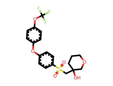 O=S(=O)(CC1(O)CCCOC1)c1ccc(Oc2ccc(OC(F)(F)F)cc2)cc1